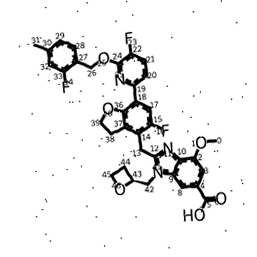 COc1cc(C(=O)O)cc2c1nc(Cc1c(F)cc(-c3ccc(F)c(OCc4ccc(C)cc4F)n3)c3c1CCO3)n2C[C@@H]1CCO1